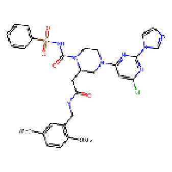 COc1ccc(OC)c(CNC(=O)CC2CN(c3cc(Cl)nc(-n4ccnc4)n3)CCN2C(=O)NS(=O)(=O)c2ccccc2)c1